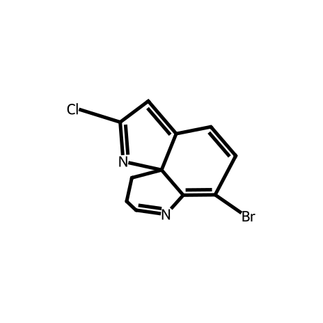 ClC1=NC23CCC=NC2=C(Br)C=CC3=C1